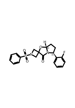 O=C1N2[C@@H](CC[C@H]2c2ccccc2F)OC12CN(S(=O)(=O)c1ccccc1)C2